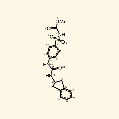 COC(=O)NS(=O)(=O)c1ccc(NC(=O)NC2Cc3ccccc3C2)cc1